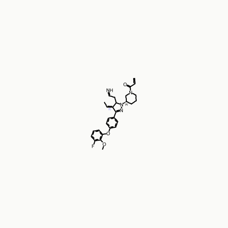 C=CC(=O)N1CCC[C@@H](N2N=C(c3ccc(Oc4cccc(F)c4OC)cc3)/C(=C/C)C2CC=N)C1